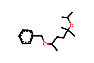 CC(C)OC(C)(C)CCC(C)OCc1ccccc1